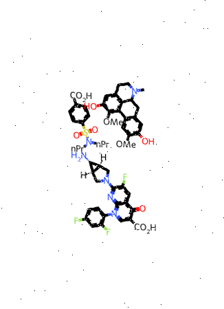 CCCN(CCC)S(=O)(=O)c1ccc(C(=O)O)cc1.COc1cc2c(cc1O)CC1c3c(cc(O)c(OC)c3-2)CCN1C.N[C@@H]1[C@H]2CN(c3nc4c(cc3F)c(=O)c(C(=O)O)cn4-c3ccc(F)cc3F)C[C@@H]12